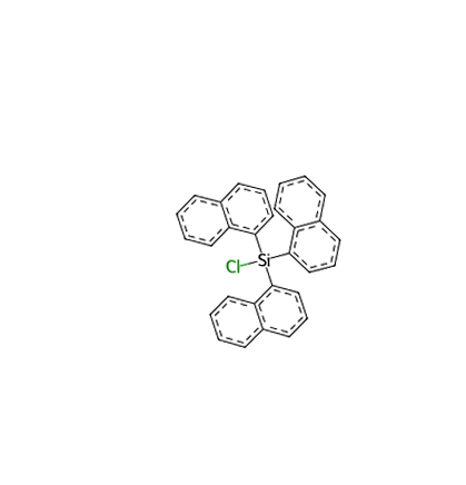 Cl[Si](c1cccc2ccccc12)(c1cccc2ccccc12)c1cccc2ccccc12